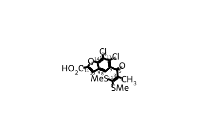 CSC(SC)=C(C)C(=O)c1cc2cc(C(=O)O)oc2c(Cl)c1Cl